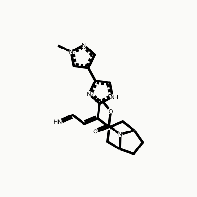 Cn1cc(-c2c[nH]c(/C(=C\C=N)N3CC4CCC(C3)N4C(=O)OC(C)(C)C)n2)cn1